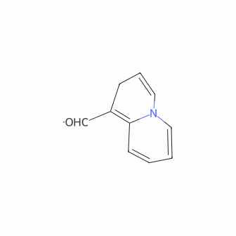 O=[C]C1=C2C=CC=CN2C=CC1